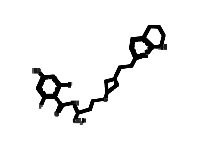 O=C(N[C@@H](CCOC1CC(CCc2ccc3c(n2)NCCC3)C1)C(=O)O)c1c(F)cc(O)cc1F